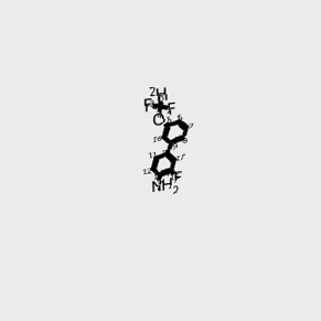 [2H]C(F)(F)Oc1cccc(-c2ccc(N)c(F)c2)c1